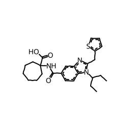 CCC(CC)n1c(Cc2cccs2)nc2cc(C(=O)NC3(C(=O)O)CCCCCC3)ccc21